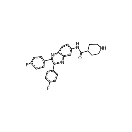 O=C(Nc1ccc2nc(-c3ccc(F)cc3)c(-c3ccc(F)cc3)nc2c1)C1CCNCC1